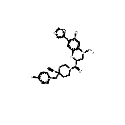 CN1CC(C(=O)N2CCC(C#N)(Cc3ccc(F)cc3)CC2)Oc2cc(-c3cnco3)c(Cl)cc21